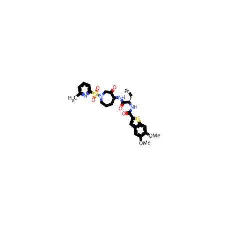 COc1cc2cc(C(=O)N[C@@H](CC(C)C)C(=O)NC3CCCN(S(=O)(=O)c4cccc(C)n4)CC3=O)sc2cc1OC